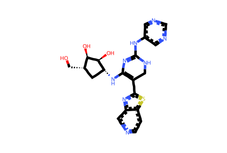 OC[C@H]1C[C@@H](NC2=C(c3nc4cnccc4s3)CNC(Nc3cncnc3)=N2)[C@H](O)[C@@H]1O